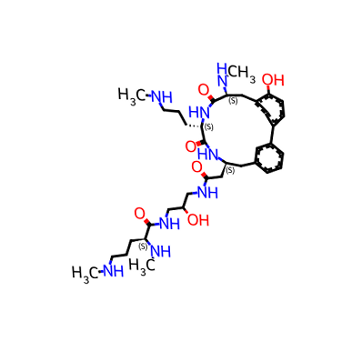 CNCCC[C@H](NC)C(=O)NCC(O)CNC(=O)C[C@@H]1Cc2cccc(c2)-c2ccc(O)c(c2)C[C@H](NC)C(=O)N[C@@H](CCCNC)C(=O)N1